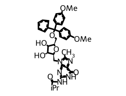 COc1ccc(C(OC[C@H]2O[C@@H](Cn3c(C)nc4c(=O)[nH]c(NC(=O)C(C)C)nc43)[C@@H](O)C2O)(c2ccccc2)c2ccc(OC)cc2)cc1